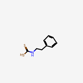 S=C(S)NCCc1ccccc1